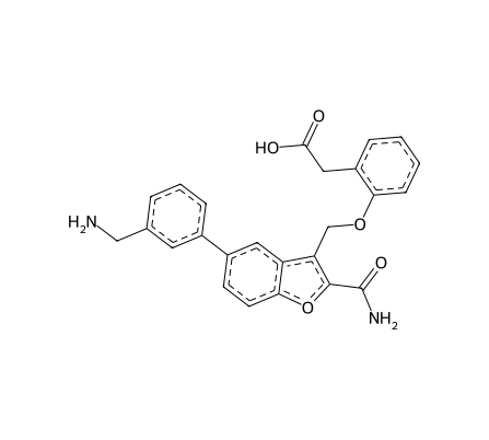 NCc1cccc(-c2ccc3oc(C(N)=O)c(COc4ccccc4CC(=O)O)c3c2)c1